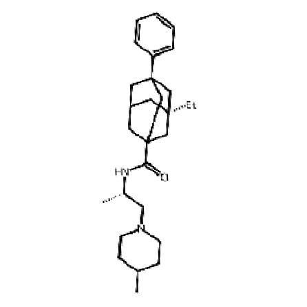 CC[C@@]12CC3CC(C(=O)N[C@@H](C)CN4CCC(C)CC4)(C1)C[C@](c1ccccc1)(C3)C2